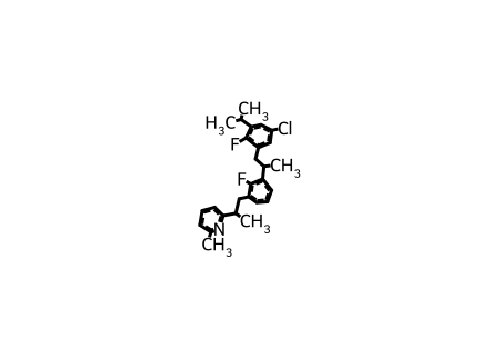 Cc1cccc(C(C)Cc2cccc(C(C)Cc3cc(Cl)cc(C(C)C)c3F)c2F)n1